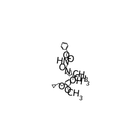 COc1ccc([C@@H]2CN(C(=O)CNC(=O)OCc3ccccc3)C[C@@]2(C)C(C)O)cc1OCC1CC1